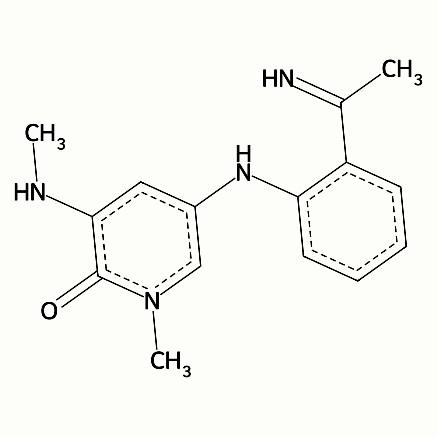 CNc1cc(Nc2ccccc2C(C)=N)cn(C)c1=O